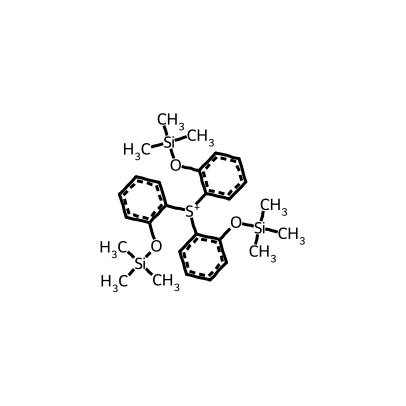 C[Si](C)(C)Oc1ccccc1[S+](c1ccccc1O[Si](C)(C)C)c1ccccc1O[Si](C)(C)C